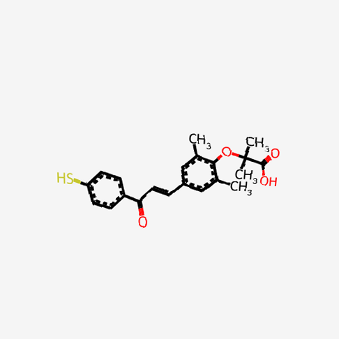 Cc1cc(/C=C/C(=O)c2ccc(S)cc2)cc(C)c1OC(C)(C)C(=O)O